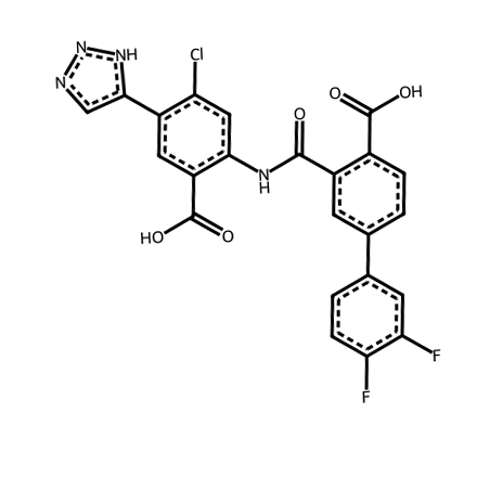 O=C(O)c1cc(-c2cnn[nH]2)c(Cl)cc1NC(=O)c1cc(-c2ccc(F)c(F)c2)ccc1C(=O)O